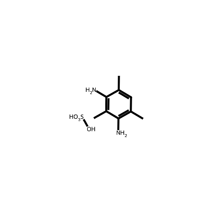 Cc1cc(C)c(N)c(C)c1N.O=S(=O)(O)O